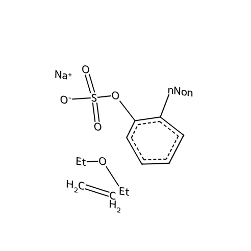 C=C.CCCCCCCCCc1ccccc1OS(=O)(=O)[O-].CCOCC.[Na+]